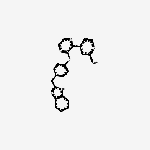 COc1cc(-c2nccnc2Oc2ccc([C]c3nc4ccccc4[nH]3)cc2)ccn1